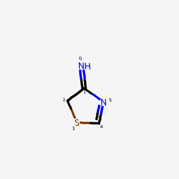 N=C1CSC=N1